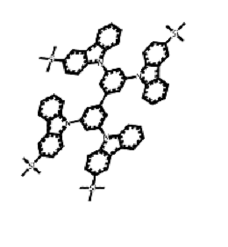 C[Si](C)(C)c1ccc2c(c1)c1ccccc1n2-c1cc(-c2cc(-n3c4ccccc4c4cc([Si](C)(C)C)ccc43)cc(-n3c4ccccc4c4cc([Si](C)(C)C)ccc43)c2)cc(-n2c3ccccc3c3cc([Si](C)(C)C)ccc32)c1